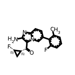 Cc1cccc(F)c1-c1ccc2nc(N)c(C(=O)[C@@H]3C[C@@H]3F)n2c1